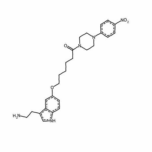 NCCc1c[nH]c2ccc(OCCCCCC(=O)N3CCN(c4ccc([N+](=O)[O-])cc4)CC3)cc12